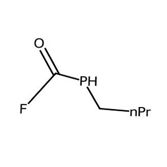 CCCCPC(=O)F